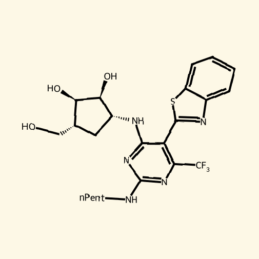 CCCCCNc1nc(N[C@@H]2C[C@H](CO)[C@@H](O)[C@H]2O)c(-c2nc3ccccc3s2)c(C(F)(F)F)n1